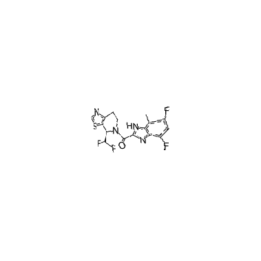 Cc1c(F)cc(F)c2nc(C(=O)N3CCc4ncsc4[C@@H]3C(F)F)[nH]c12